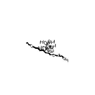 CCCCCCCCCCCCCCOCCOCCO.OP(O)O.OP(O)O